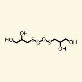 OCC(O)CSOOSCC(O)CO